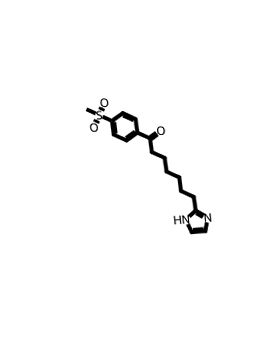 CS(=O)(=O)c1ccc(C(=O)CCCCCCc2ncc[nH]2)cc1